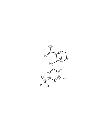 O=C(O)C1C2CCC(CC2)C1Nc1cc(C(F)(F)F)cc(Cl)n1